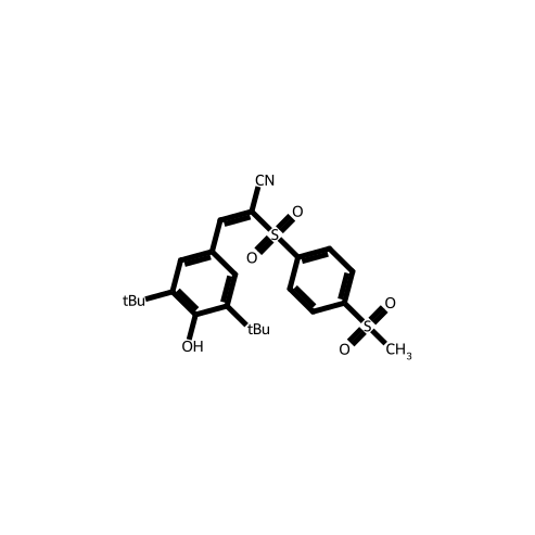 CC(C)(C)c1cc(C=C(C#N)S(=O)(=O)c2ccc(S(C)(=O)=O)cc2)cc(C(C)(C)C)c1O